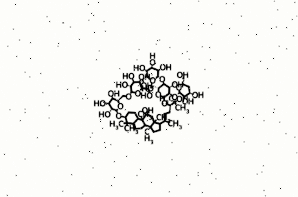 C[C@H](CC[C@@H](O[C@@H]1O[C@H](CO)[C@@H](O[C@@H]2O[C@H](CO)[C@@H](O)[C@H](O)[C@H]2O)[C@H](O)[C@H]1O[C@@H]1O[C@H](CO)C[C@H](O)[C@H]1O)C(C)(C)O)C1CC[C@@]2(C)C3CC=C4C(CC[C@H](O[C@@H]5O[C@H](CO[C@@H]6O[C@H](CO)[C@@H](O)[C@H](O)[C@H]6O)[C@@H](O)[C@H](O)[C@H]5O)C4(C)C)[C@]3(C)[C@H](O)C[C@]12C